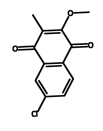 COC1=C(C)C(=O)c2cc(Cl)ccc2C1=O